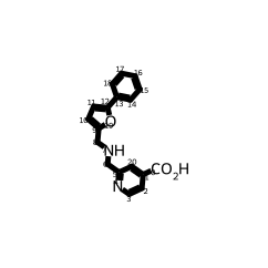 O=C(O)c1ccnc(CNCc2ccc(-c3ccccc3)o2)c1